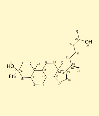 CC[C@]1(O)CCC2(C)C(CCC3C2CCC2(C)C3CC[C@@H]2[C@H](C)CCCC(C)O)C1